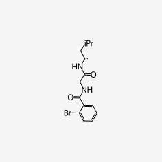 CC(C)C[CH]NC(=O)CNC(=O)c1ccccc1Br